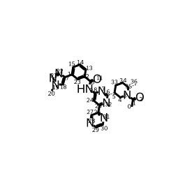 CC(=O)N1C[C@H](c2nc(NC(=O)c3cccc(-c4cn(C)nn4)c3)cc(-c3cnccn3)n2)CC[C@@H]1C